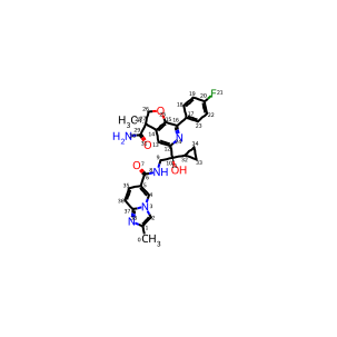 Cc1cn2cc(C(=O)NC[C@](O)(c3cc4c(c(-c5ccc(F)cc5)n3)OC[C@]4(C)C(N)=O)C3CC3)ccc2n1